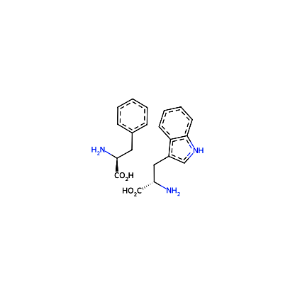 N[C@@H](Cc1c[nH]c2ccccc12)C(=O)O.N[C@@H](Cc1ccccc1)C(=O)O